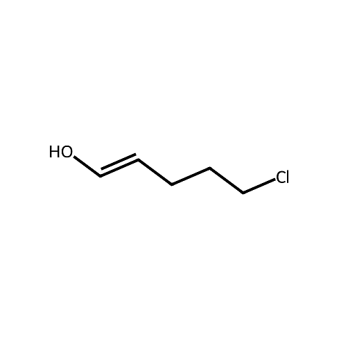 OC=CCCCCl